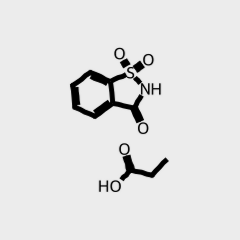 CCC(=O)O.O=C1NS(=O)(=O)c2ccccc21